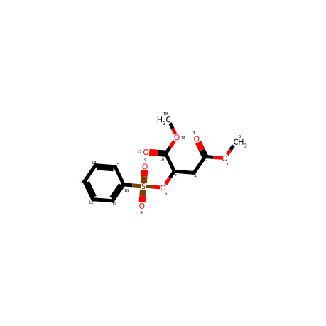 COC(=O)CC(OS(=O)(=O)c1ccccc1)C(=O)OC